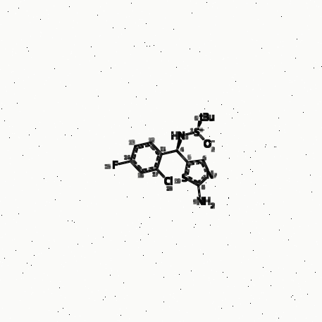 CC(C)(C)[S@@+]([O-])N[C@@H](c1cnc(N)s1)c1ccc(F)cc1Cl